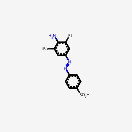 CCc1cc(N=Nc2ccc(S(=O)(=O)O)cc2)cc(C(C)CC)c1N